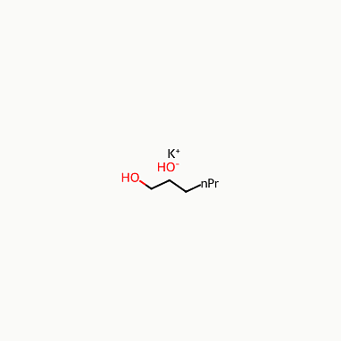 CCCCCCO.[K+].[OH-]